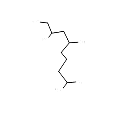 CCC(O)CC(C)CCCC(C)C